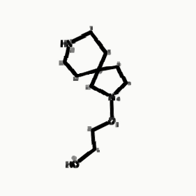 OCCON1CCC2(CCNCC2)C1